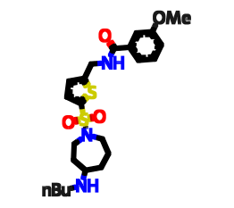 CCCCNC1CCCN(S(=O)(=O)c2ccc(CNC(=O)c3cccc(OC)c3)s2)CC1